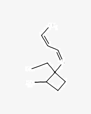 C/C=C\C=N/C1(CCl)CCC1C